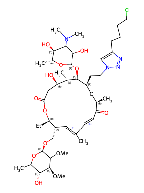 CC[C@H]1OC(=O)C[C@@H](O)[C@H](C)[C@@H](O[C@@H]2O[C@H](C)[C@@H](O)C(N(C)C)C2O)[C@@H](CCn2cc(CCCCCl)nn2)C[C@@H](C)C(=O)/C=C/C(C)=C/[C@@H]1CO[C@@H]1OC(C)[C@@H](O)[C@H](OC)C1OC